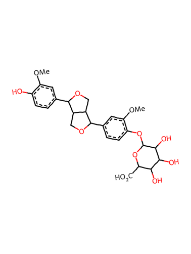 COc1cc(C2OCC3C(c4ccc(OC5OC(C(=O)O)C(O)C(O)C5O)c(OC)c4)OCC23)ccc1O